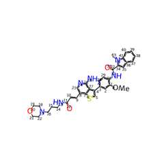 COc1cc(-c2csc3c(C=CC(=O)NCCCN4CCOCC4)cnc(N)c23)ccc1NC(=O)c1cc2ccccc2n1C